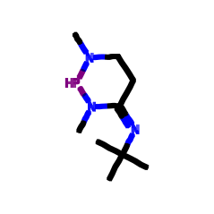 CN1CCC(=NC(C)(C)C)N(C)P1